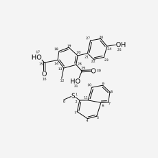 CSc1cccc2ccccc12.Cc1c(C(=O)O)ccc(-c2ccc(O)cc2)c1C(=O)O